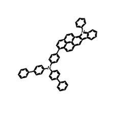 c1ccc(-c2ccc(N(c3ccc(-c4ccccc4)cc3)c3ccc(-c4ccc5ccc6c7c(ccc4c57)cc4c5ccccc5n(-c5ccccc5)c46)cc3)cc2)cc1